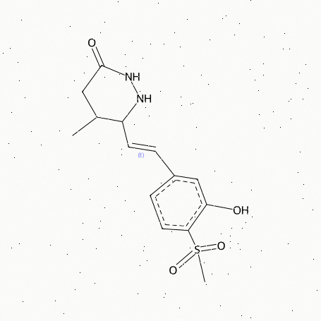 CC1CC(=O)NNC1/C=C/c1ccc(S(C)(=O)=O)c(O)c1